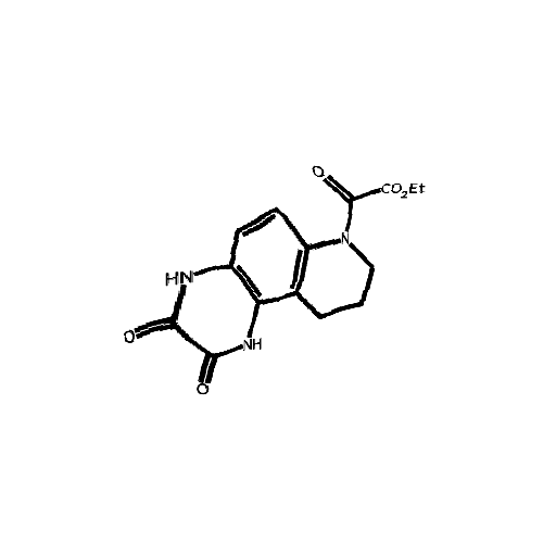 CCOC(=O)C(=O)N1CCCc2c1ccc1[nH]c(=O)c(=O)[nH]c21